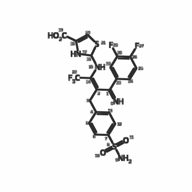 N=C(/C(Cc1ccc(S(N)(=O)=O)cc1)=C(\NC1NC(C(=O)O)=CS1)C(F)(F)F)c1ccc(F)c(F)c1